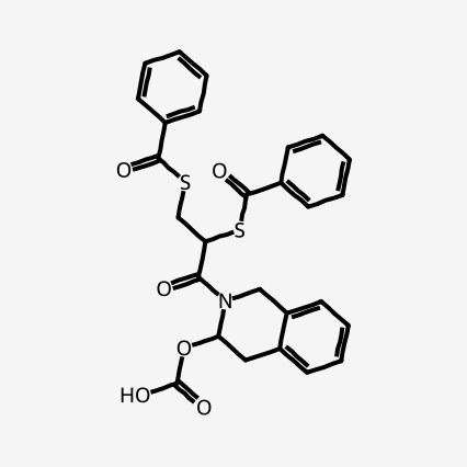 O=C(O)OC1Cc2ccccc2CN1C(=O)C(CSC(=O)c1ccccc1)SC(=O)c1ccccc1